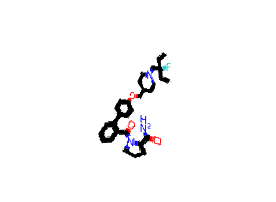 CCC(F)(CC)CN1CCC(COc2ccc(-c3ccccc3C(=O)N3CCCC3C(N)=O)cc2)CC1